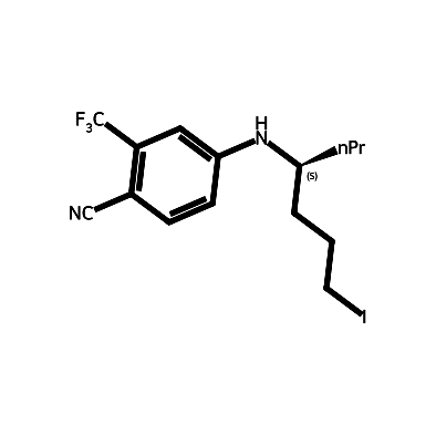 CCC[C@@H](CCCI)Nc1ccc(C#N)c(C(F)(F)F)c1